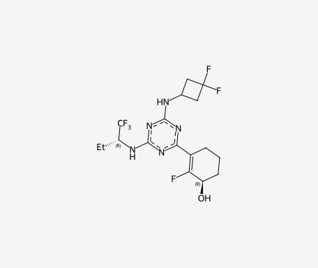 CC[C@@H](Nc1nc(NC2CC(F)(F)C2)nc(C2=C(F)[C@H](O)CCC2)n1)C(F)(F)F